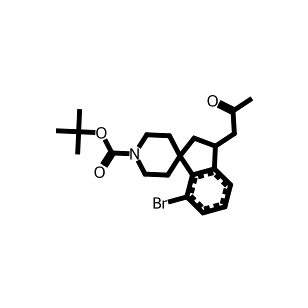 CC(=O)CC1CC2(CCN(C(=O)OC(C)(C)C)CC2)c2c(Br)cccc21